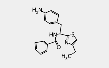 CCc1csc(C(Cc2ccc(N)cc2)NC(=O)c2ccccc2)n1